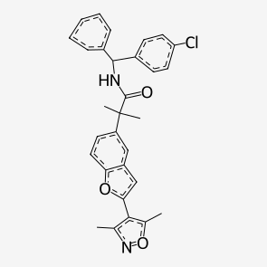 Cc1noc(C)c1-c1cc2cc(C(C)(C)C(=O)NC(c3ccccc3)c3ccc(Cl)cc3)ccc2o1